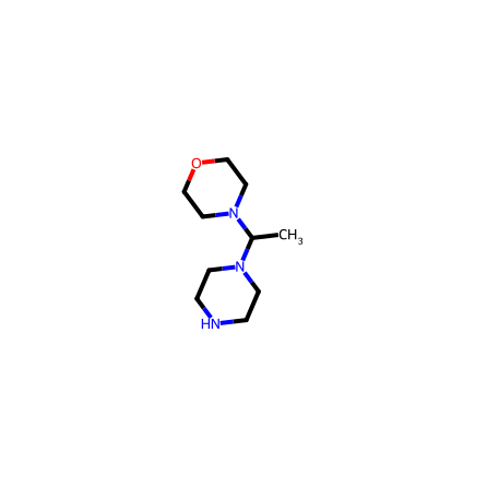 CC(N1CCNCC1)N1CCOCC1